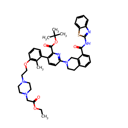 CCOC(=O)CN1CCN(CCOc2cccc(-c3ccc(N4CCc5cccc(C(=O)Nc6nc7ccccc7s6)c5C4)nc3C(=O)OC(C)(C)C)c2C)CC1